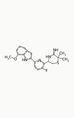 COc1cccc2cc(-c3ccc(F)c(C4CSC(C)(C)C(=N)N4)n3)[nH]c12